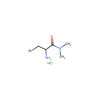 CC(C)CC(N)C(=O)N(C)C.Cl